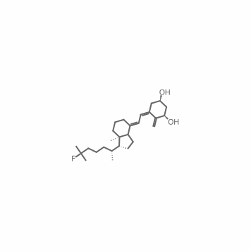 C=C1/C(=C\C=C2CCC[C@@]3(C)C2CC[C@@H]3[C@H](C)CCCC(C)(C)F)C[C@@H](O)C[C@H]1O